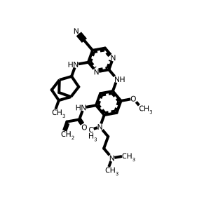 C=CC(=O)Nc1cc(Nc2ncc(C#N)c(NC3CC4CC3CC4C)n2)c(OC)cc1N(C)CCN(C)C